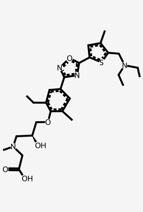 CCc1cc(-c2noc(-c3cc(C)c(CN(CC)CC)s3)n2)cc(C)c1OC[C@@H](O)CN(C)CC(=O)O